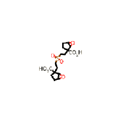 O=C(O)C1(CCS(=O)(=O)CCC2(C(=O)O)CCC3OC32)CCC2OC21